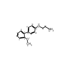 COc1ccccc1-c1ccc(OCCN)cc1